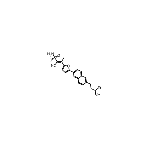 CCCC(CC)CCc1ccc2cc(-c3ccc(/C(C)=C(\C#N)S(N)(=O)=O)o3)ccc2c1